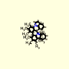 Cc1c(C)c2c3c(c1C)-n1ccc4cccc(c41)B3N1c3c-2c(C)c(C)c(C)c3C2(C)CCCCC12C